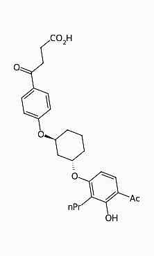 CCCc1c(O[C@H]2CCC[C@H](Oc3ccc(C(=O)CCC(=O)O)cc3)C2)ccc(C(C)=O)c1O